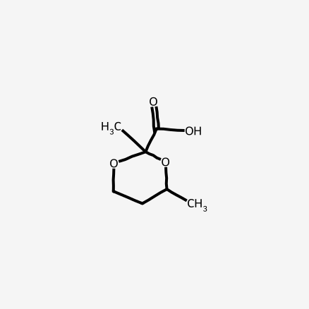 CC1CCOC(C)(C(=O)O)O1